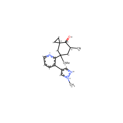 COC1(c2ncccc2-c2cnn(C)c2)CC(C#N)C(=O)C2(CC2)C1